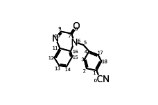 N#Cc1ccc(Cn2c(=O)cnc3ccccc32)cc1